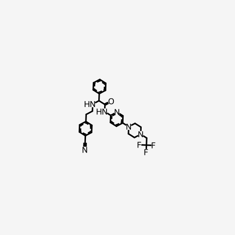 N#Cc1ccc(CCNC(C(=O)Nc2ccc(N3CCN(CC(F)(F)F)CC3)cn2)c2ccccc2)cc1